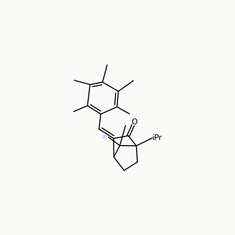 Cc1c(C)c(C)c(/C=C2\C(=O)C3(C(C)C)CCC2C3(C)C)c(C)c1C